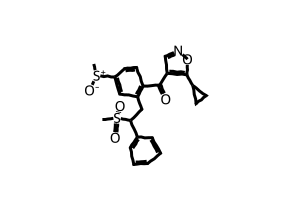 C[S+]([O-])c1ccc(C(=O)c2cnoc2C2CC2)c(CC(c2ccccc2)S(C)(=O)=O)c1